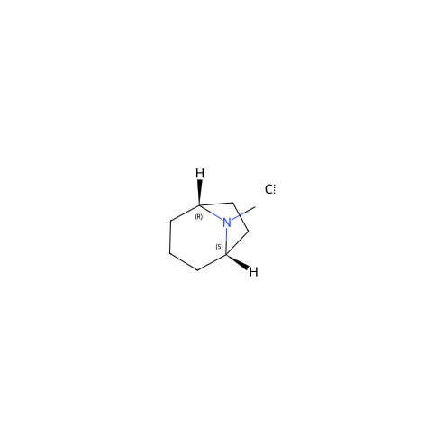 CN1[C@@H]2CCC[C@H]1CC2.[C]